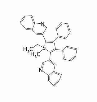 CC[Si]1(C)C(c2cnc3ccccc3c2)=C(c2ccccc2)C(c2ccccc2)=C1c1cnc2ccccc2c1